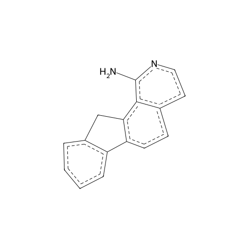 Nc1nccc2ccc3c(c12)Cc1ccccc1-3